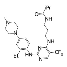 CCc1cc(N2CCN(C)CC2)ccc1Nc1ncc(C(F)(F)F)c(NCCCNC(=O)C(C)C)n1